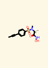 CC#Cc1ccc(S(=O)(=O)N(C)[C@H](C)C(=O)NO)cc1